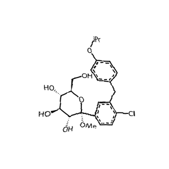 CO[C@@]1(c2ccc(Cl)c(Cc3ccc(OC(C)C)cc3)c2)O[C@H](CO)[C@@H](O)[C@H](O)[C@H]1O